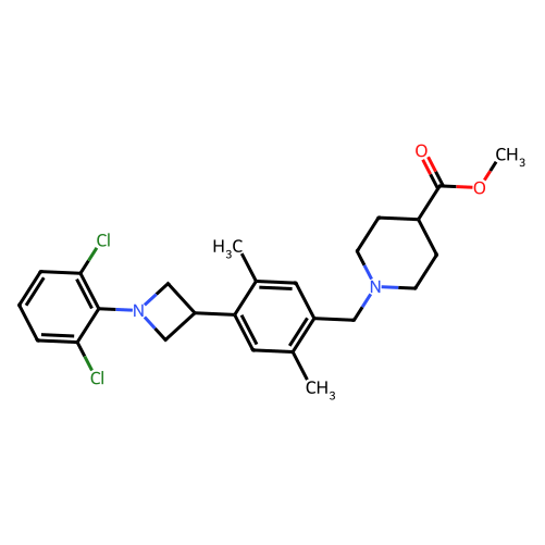 COC(=O)C1CCN(Cc2cc(C)c(C3CN(c4c(Cl)cccc4Cl)C3)cc2C)CC1